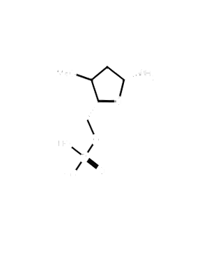 B[C@H]1CC(OC)[C@@H](COP(=O)(O)O)O1